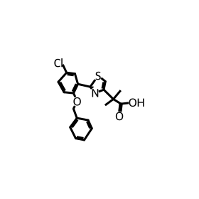 CC(C)(C(=O)O)c1csc(-c2cc(Cl)ccc2OCc2ccccc2)n1